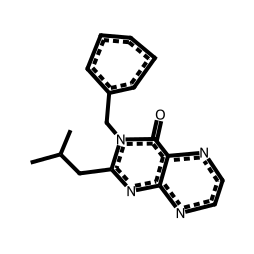 CC(C)Cc1nc2nccnc2c(=O)n1Cc1ccccc1